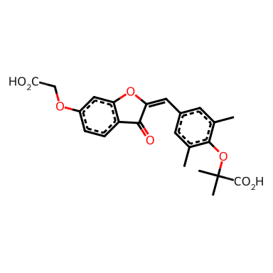 Cc1cc(C=C2Oc3cc(OCC(=O)O)ccc3C2=O)cc(C)c1OC(C)(C)C(=O)O